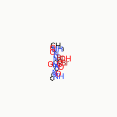 CONC(=O)CN1CCN(C2CCN(C3(CC=O)CC(N4CCc5ccccc5NC4=O)CC[N@+]3(Cc3cc(Br)c(O)c(Br)c3)C(=O)[O-])CC2)CC1